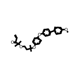 C=CC(=O)C(C)(C)OCCC(C)(C)Oc1ccc(Oc2ccc(-c3ccc(OC)cc3)cc2)cc1